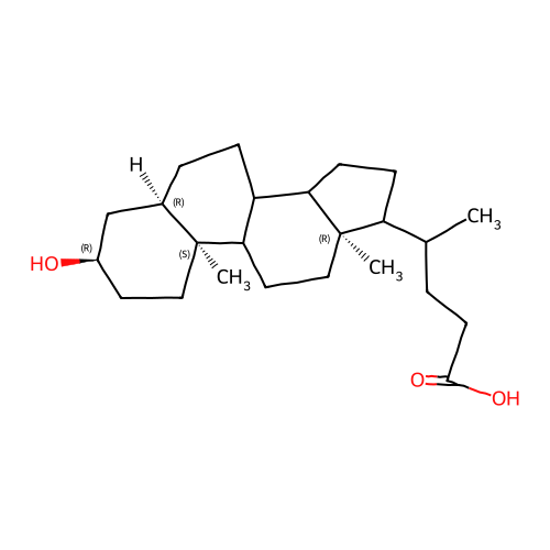 CC(CCC(=O)O)C1CCC2C3CC[C@@H]4C[C@H](O)CC[C@]4(C)C3CC[C@]12C